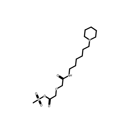 CS(=O)(=O)OC(=O)COCC(=O)NCCCCCCN1CCCCC1